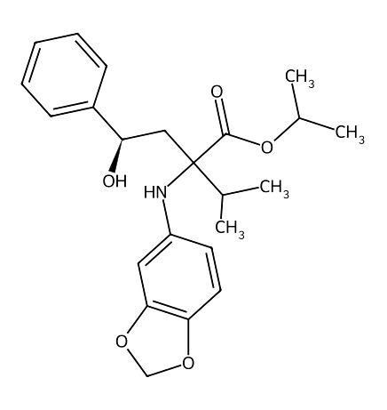 CC(C)OC(=O)C(C[C@@H](O)c1ccccc1)(Nc1ccc2c(c1)OCO2)C(C)C